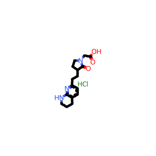 Cl.O=C(O)CN1CCC(CCc2ccc3c(n2)NCCC3)C1=O